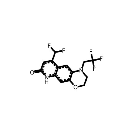 O=c1cc(C(F)F)c2cc3c(cc2[nH]1)OCCN3CC(F)(F)F